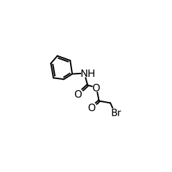 O=C(CBr)OC(=O)Nc1ccccc1